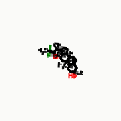 CC[C@]1(O)CC[C@@]2(C)C(=CC[C@H]3[C@@H]4CC[C@H]([C@H](C)[C@@H](O)C(C)(F)F)[C@@]4(C)CC[C@@H]32)C1